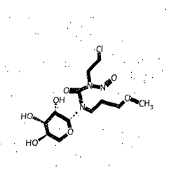 COCCCN(C(=O)N(CCCl)N=O)[C@@H]1OC[C@@H](O)[C@@H](O)[C@@H]1O